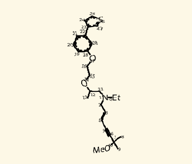 CCN(CC=CC#CC(C)(C)OC)CC(C)OCCOc1cccc(-c2ccsc2)c1